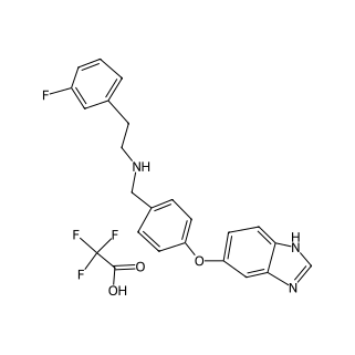 Fc1cccc(CCNCc2ccc(Oc3ccc4[nH]cnc4c3)cc2)c1.O=C(O)C(F)(F)F